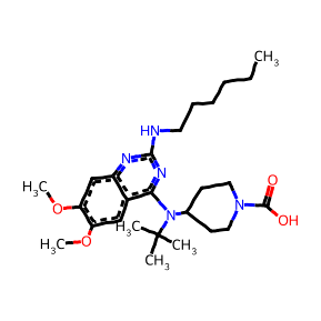 CCCCCCNc1nc(N(C2CCN(C(=O)O)CC2)C(C)(C)C)c2cc(OC)c(OC)cc2n1